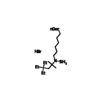 Br.CCCCCCCCCCCCCCCCN([SiH3])C(C)(C)CC(CC)(CC)CC